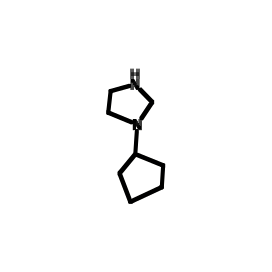 C1CCC(N2CCNC2)C1